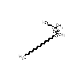 CCCCCCCCCCCCCCCCOP(=O)(O)OC(C)OCCO